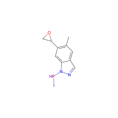 Cc1cc2cnn(PI)c2cc1C1CO1